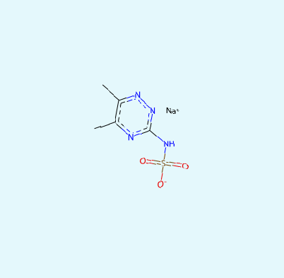 Cc1nnc(NS(=O)(=O)[O-])nc1C.[Na+]